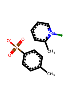 Cc1ccc(S(=O)(=O)[O-])cc1.Cc1cccc[n+]1F